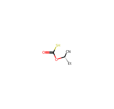 CC[C@@H](C#N)OC(=O)S